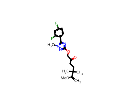 C=C(OC)C(C)(C)CCC(=O)COc1nc(-c2ccc(F)cc2F)n(C)n1